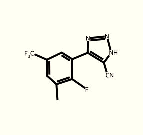 Cc1cc(C(F)(F)F)cc(-c2nn[nH]c2C#N)c1F